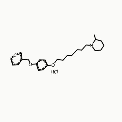 CC1CCCCN1CCCCCCCOc1ccc(OCc2ccccc2)cc1.Cl